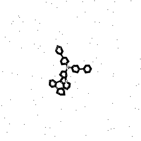 c1ccc(-c2ccc(N(c3ccc(-c4ccccc4)cc3)c3ccc4c(-c5ccccc5-c5ccccc5)c5ccccn5c4c3)cc2)cc1